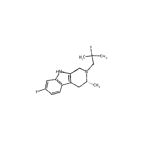 C[C@@H]1Cc2c([nH]c3cc(F)ccc23)CN1CC(C)(C)F